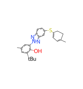 CC1=CC=C(Sc2ccc3nn(-c4cc(C)cc(C(C)(C)C)c4O)nc3c2)CC1